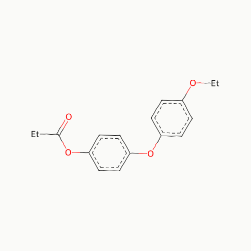 CCOc1ccc(Oc2ccc(OC(=O)CC)cc2)cc1